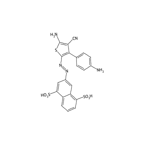 N#Cc1c(N)sc(/N=N/c2cc(S(=O)(=O)O)c3cccc(S(=O)(=O)O)c3c2)c1-c1ccc(N)cc1